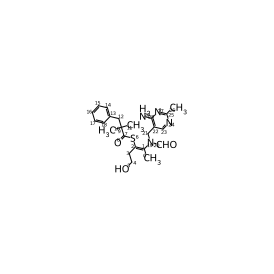 C/C(=C(\CCO)SC(=O)C(C)(C)Cc1ccccc1)N(C=O)Cc1cnc(C)nc1N